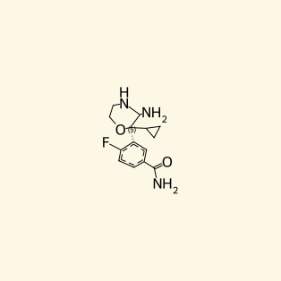 NC(=O)c1ccc(F)c([C@]2(C3CC3)OCCNC2N)c1